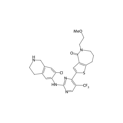 COCCN1CCCc2sc(-c3nc(Nc4cc5c(cc4Cl)CNCC5)ncc3C(F)(F)F)cc2C1=O